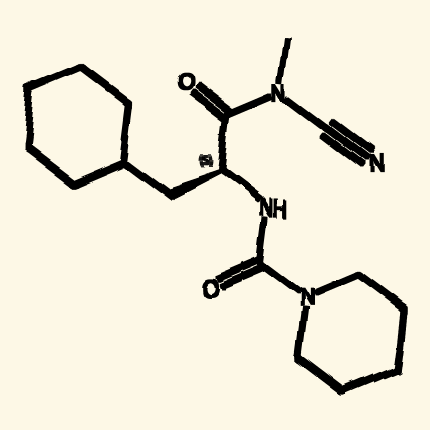 CN(C#N)C(=O)[C@H](CC1CCCCC1)NC(=O)N1CCCCC1